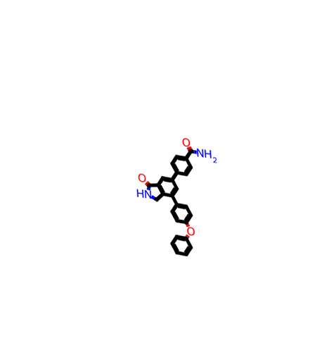 NC(=O)c1ccc(-c2cc3c(c(-c4ccc(Oc5ccccc5)cc4)c2)CNC3=O)cc1